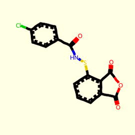 O=C(NSc1cccc2c1C(=O)OC2=O)c1ccc(Cl)cc1